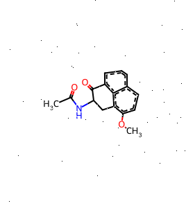 COc1ccc2cccc3c2c1CC(NC(C)=O)C3=O